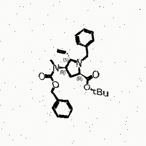 C=C[C@H]1[C@H](N(C)C(=O)OCc2ccccc2)C[C@H](C(=O)OC(C)(C)C)N1Cc1ccccc1